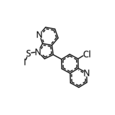 Clc1cc(-c2cn(SI)c3ncccc23)cc2cccnc12